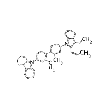 C=Cc1c(/C=C\C)n(-c2ccc(-c3ccc(-n4c5c(c6ccccc64)CCC=C5)cc3C)c(C)c2)c2ccccc12